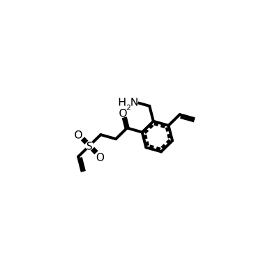 C=Cc1cccc(C(=O)CCS(=O)(=O)C=C)c1CN